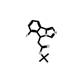 CC(C)(C)OC(=O)CC1c2c(F)cccc2-c2cncn21